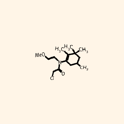 COCCN(C(=O)CCl)C1=C(C)C(C)(C)CC(C)C1